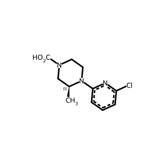 C[C@H]1CN(C(=O)O)CCN1c1cccc(Cl)n1